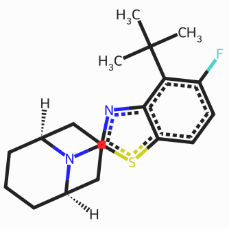 CC(C)(C)c1c(F)ccc2sc(N3[C@H]4CCC[C@@H]3CCC4)nc12